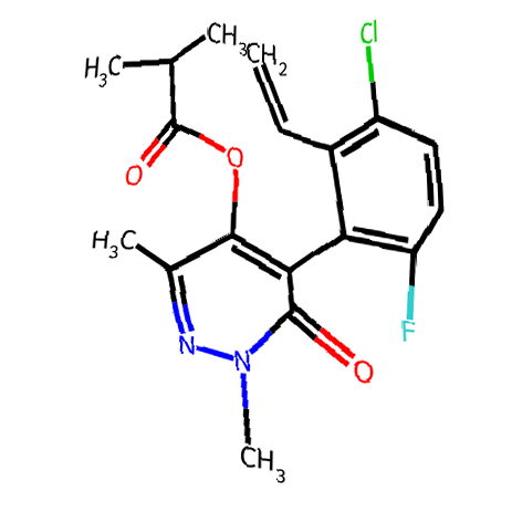 C=Cc1c(Cl)ccc(F)c1-c1c(OC(=O)C(C)C)c(C)nn(C)c1=O